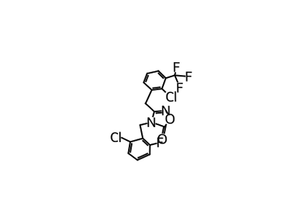 O=c1onc(Cc2cccc(C(F)(F)F)c2Cl)n1Cc1c(F)cccc1Cl